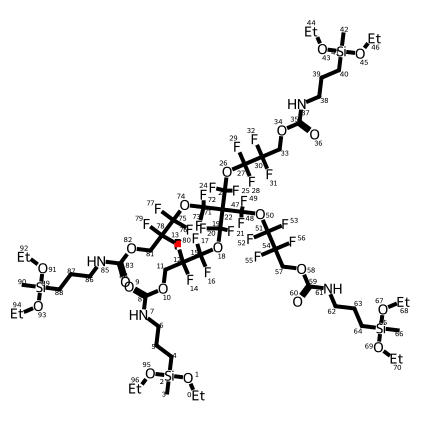 CCO[Si](C)(CCCNC(=O)OCC(F)(F)C(F)(F)OC(F)(F)C(C(F)(F)OC(F)(F)C(F)(F)COC(=O)NCCC[Si](C)(OCC)OCC)(C(F)(F)OC(F)(F)C(F)(F)COC(=O)NCCC[Si](C)(OCC)OCC)C(F)(F)OC(F)(F)C(F)(F)COC(=O)NCCC[Si](C)(OCC)OCC)OCC